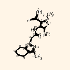 CCCc1nn(C)c(C(N)=O)c1NC(=O)Cn1nc(C(F)(F)F)c2c1CCCC2